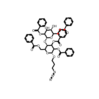 [N-]=[N+]=NCCCO[C@@H]1OC(COC(=O)c2ccccc2)[C@@H](O[C@@H]2OC(COC(=O)c3ccccc3)[C@H](O)C(O)C2OC(=O)c2ccccc2)C(OC(=O)c2ccccc2)C1OC(=O)c1ccccc1